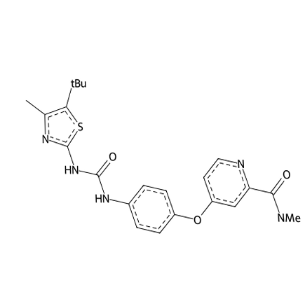 CNC(=O)c1cc(Oc2ccc(NC(=O)Nc3nc(C)c(C(C)(C)C)s3)cc2)ccn1